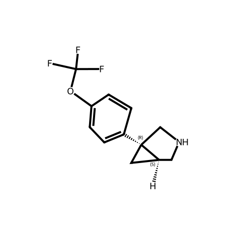 FC(F)(F)Oc1ccc([C@]23CNC[C@H]2C3)cc1